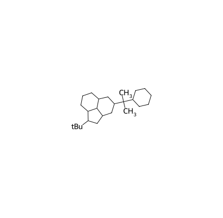 CC(C)(C)C1CC2CC(C(C)(C)C3CCCCC3)CC3CCCC1C32